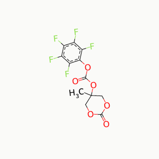 CC1(OC(=O)Oc2c(F)c(F)c(F)c(F)c2F)COC(=O)OC1